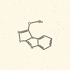 CCCCOc1nsc2nc3ccccc3n12